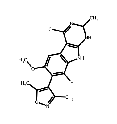 COc1cc2c3c([nH]c2c(F)c1-c1c(C)noc1C)NC(C)N=C3Cl